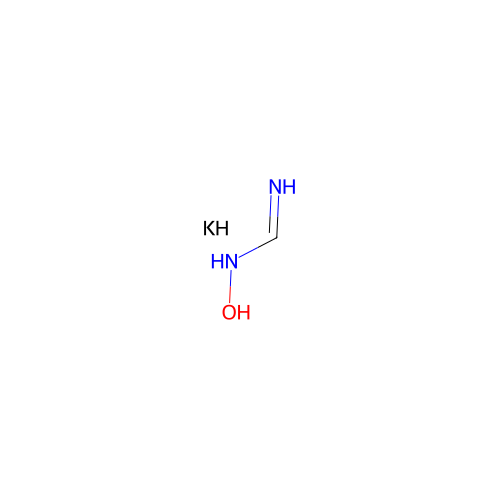 N=CNO.[KH]